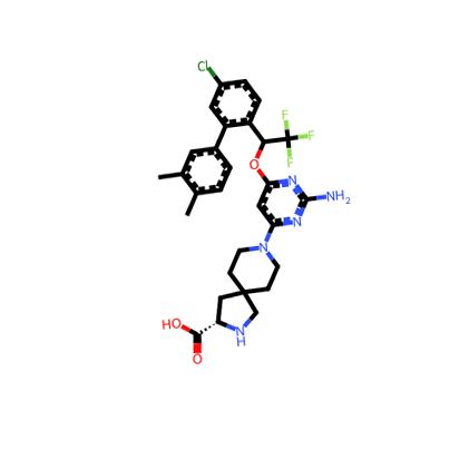 Cc1ccc(-c2cc(Cl)ccc2C(Oc2cc(N3CCC4(CC3)CN[C@H](C(=O)O)C4)nc(N)n2)C(F)(F)F)cc1C